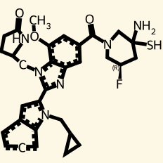 COc1cc(C(=O)N2C[C@H](F)CC(N)(S)C2)cc2nc(-c3cc4ccccc4n3CC3CC3)n(CC3CCC(=O)N3)c12